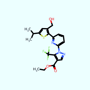 CCOC(=O)c1cnn(-c2cccc(-c3sc(C(C)C)cc3CO)n2)c1C(F)(F)F